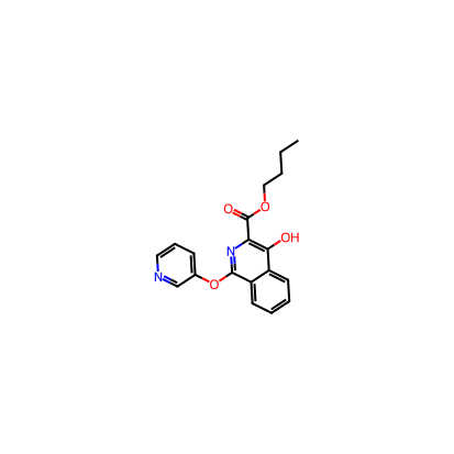 CCCCOC(=O)c1nc(Oc2cccnc2)c2ccccc2c1O